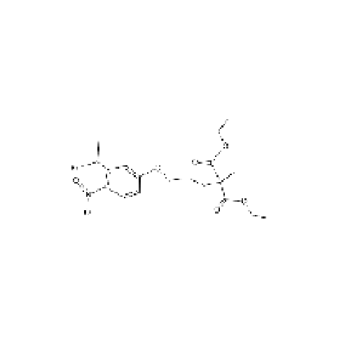 CCOC(=O)C(C)(CCCOc1ccc([N+](=O)[O-])c(C(C)Br)c1)C(=O)OCC